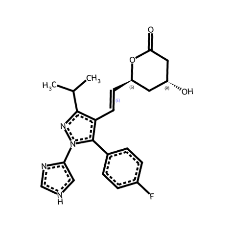 CC(C)c1nn(-c2c[nH]cn2)c(-c2ccc(F)cc2)c1/C=C/[C@@H]1C[C@@H](O)CC(=O)O1